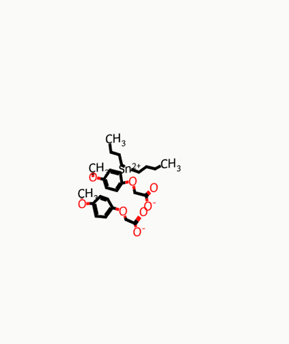 CCC[CH2][Sn+2][CH2]CCC.COc1ccc(OCC(=O)[O-])cc1.COc1ccc(OCC(=O)[O-])cc1